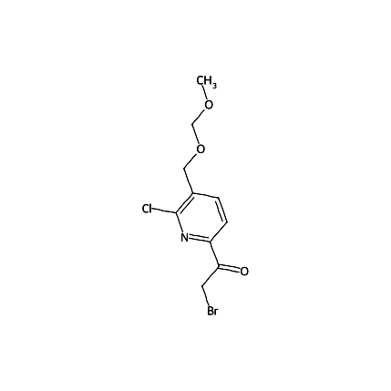 COCOCc1ccc(C(=O)CBr)nc1Cl